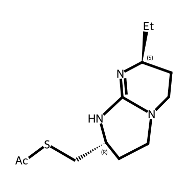 CC[C@H]1CCN2CC[C@H](CSC(C)=O)NC2=N1